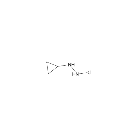 ClNNC1CC1